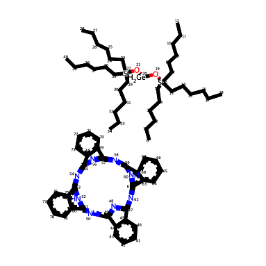 CCCCCC[Si](CCCCCC)(CCCCCC)[O][GeH2][O][Si](CCCCCC)(CCCCCC)CCCCCC.c1ccc2c(c1)-c1nc-2nc2[nH]c(nc3nc(nc4[nH]c(n1)c1ccccc41)-c1ccccc1-3)c1ccccc21